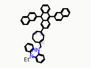 CCN(c1ccccc1)c1ccccc1NC/C1=C/C=C(C2=CC3C(=C(c4ccc5ccccc5c4)c4ccccc4C3c3ccc4ccccc4c3)C=C2)\C=C/CC1